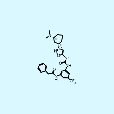 CN(C)[C@@H]1CCC[C@@H]([n+]2cc([N-]C(=O)Nc3cc(NC(=O)Cc4ccccc4)cc(C(F)(F)F)c3)on2)C1